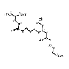 CCCCCCCCCCCCOCC(O)CN(CCO)CCCCCC(=O)OCC(CCCCCC)CCCCCCCC